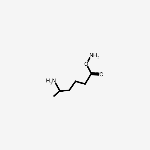 CC(N)CCCC(=O)ON